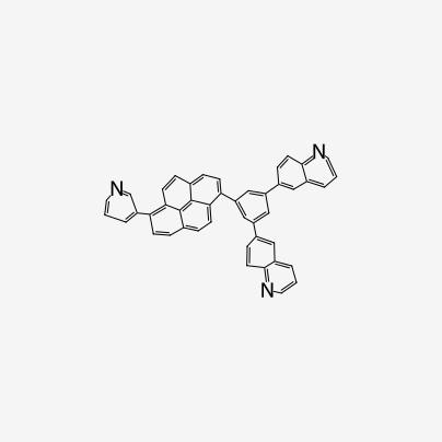 c1cncc(-c2ccc3ccc4c(-c5cc(-c6ccc7ncccc7c6)cc(-c6ccc7ncccc7c6)c5)ccc5ccc2c3c54)c1